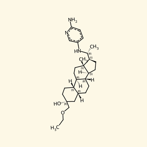 CCOC[C@@]1(O)CC[C@H]2[C@H](CC[C@@H]3[C@@H]2CC[C@]2(C)[C@@H]([C@@H](C)Nc4ccc(N)nc4)CC[C@@H]32)C1